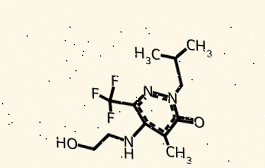 Cc1c(NCCO)c(C(F)(F)F)nn(CC(C)C)c1=O